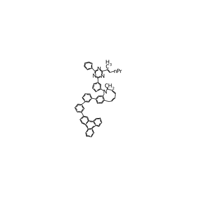 C=C1/C=C\C=C/Cc2ccc(-c3cccc(-c4cccc(-c5ccc6c7ccccc7c7ccccc7c6c5)c4)c3)cc2N1c1cccc(-c2nc(/C(C)=C/CCC)nc(-c3ccccc3)n2)c1